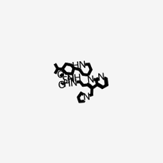 CC(C)C1CCC(C2CC(n3c(CCNN[SH](=O)=O)c(CN4CCCC4)c4cccnc43)CCN2)CC1